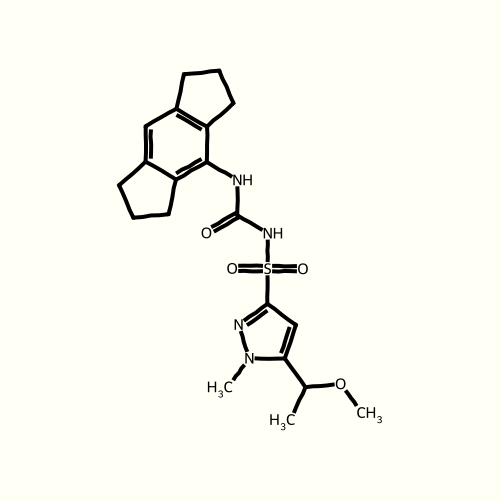 COC(C)c1cc(S(=O)(=O)NC(=O)Nc2c3c(cc4c2CCC4)CCC3)nn1C